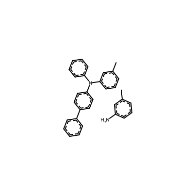 Cc1cccc(N(c2ccccc2)c2ccc(-c3ccccc3)cc2)c1.Cc1cccc(N)c1